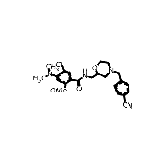 COc1cc(N(C)C)c(Cl)cc1C(=O)NCC1CN(Cc2ccc(C#N)cc2)CCO1